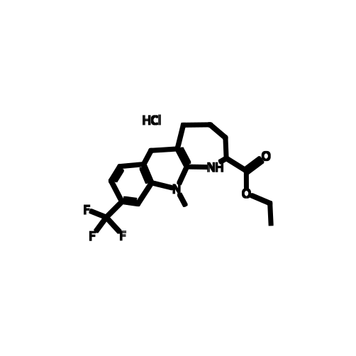 CCOC(=O)C1CCCC2=C(N1)N(C)c1cc(C(F)(F)F)ccc1C2.Cl